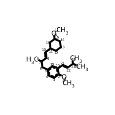 COc1ccc(CC(C)/C=C/C2CCCC(OC)C2)cc1/C=C/C(C)C